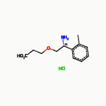 Cc1ccccc1[C@@H](N)COCCC(=O)O.Cl